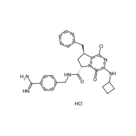 Cl.N=C(N)c1ccc(CNC(=O)[C@@H]2C[C@@H](Cc3ccccc3)c3c(Cl)nc(NC4CCC4)c(=O)n32)cc1